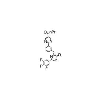 CCCC(=O)c1cnc(-c2cccc(Cn3nc(-c4cc(F)c(F)c(F)c4)ccc3=O)c2)nc1